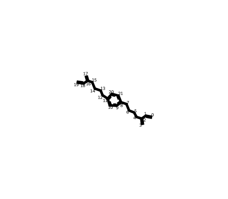 C=CC(=C)CCCCc1ccc(CCCCC(=C)C=C)cc1